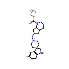 CCOC(=O)N1CCCC2CC(CN3CCC4(CC3)CNc3ccc(F)cc34)CC21